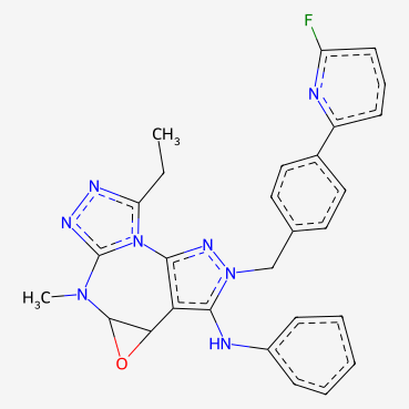 CCc1nnc2n1-c1nn(Cc3ccc(-c4cccc(F)n4)cc3)c(Nc3ccccc3)c1C1OC1N2C